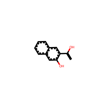 C=C(O)c1cc2ccccc2cc1O